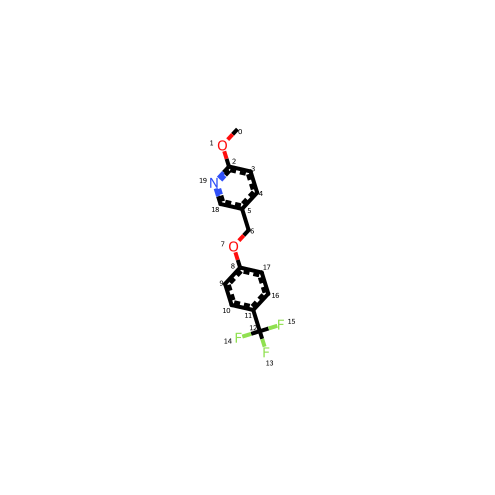 COc1ccc(COc2ccc(C(F)(F)F)cc2)cn1